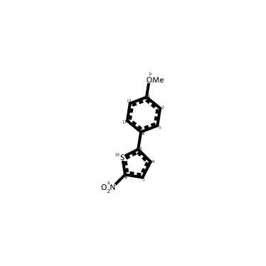 COc1ccc(-c2ccc([N+](=O)[O-])s2)cc1